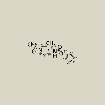 CC1CN(C(=O)CCl)CCCC1CNC(=O)OCc1ccccc1